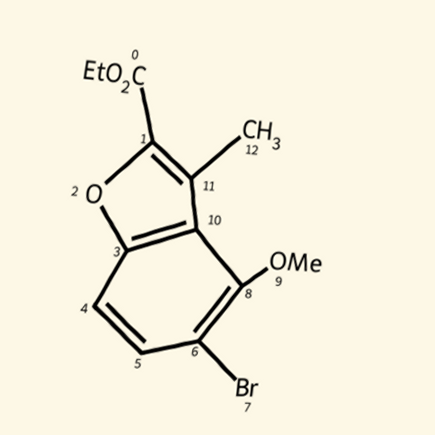 CCOC(=O)c1oc2ccc(Br)c(OC)c2c1C